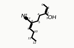 C/C=C(/O)CC/C(C#N)=C\CCC